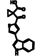 O=C(O)C1(C(=O)c2cc(-c3c[nH]c4ccccc34)cs2)CC1